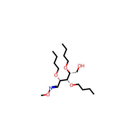 CCCCO[C@H]([C@H](/C=N/OC)OCCCC)[C@@H](CO)OCCCC